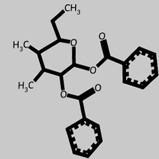 CCC1OC(OC(=O)c2ccccc2)C(OC(=O)c2ccccc2)C(C)C1C